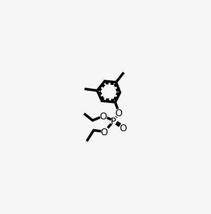 CCOP(=O)(OCC)Oc1cc(C)cc(C)c1